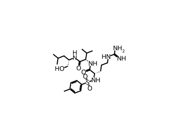 Cc1ccc(S(=O)(=O)N[C@@H](CCCNC(=N)N)C(=O)N[C@H](C(=O)N[C@H](CO)CC(C)C)C(C)C)cc1